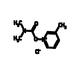 Cc1ccc[n+](OC(=O)N(C)C)c1.[Cl-]